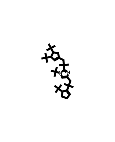 CC(C)(Cc1cn(C(C)(C)C)c(C(C)(C)CC2=CC(C(C)(C)C)C(C(C)(C)C)C2)n1)C1=CCCC1C(C)(C)C